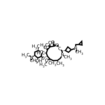 CO[C@]1(C)C[C@@H](C)CN(C)[C@@H](C2CC(N(C)CC3CC3)C2)COC(=O)C(C)(C)C(=O)[C@H](C)[C@H]1O[C@@H]1O[C@H](C)C[C@H](N(C)C)[C@H]1O